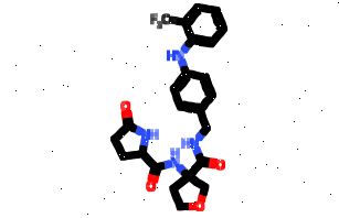 O=C1CCC(C(=O)NC2(C(=O)NCc3ccc(Nc4ccccc4C(F)(F)F)cc3)CCOC2)N1